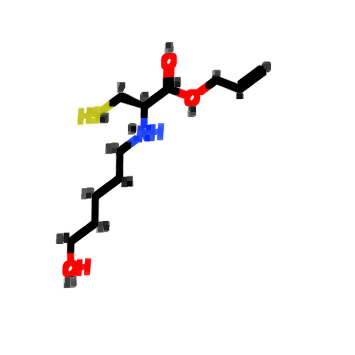 C=CCOC(=O)[C@H](CS)NCCCCCO